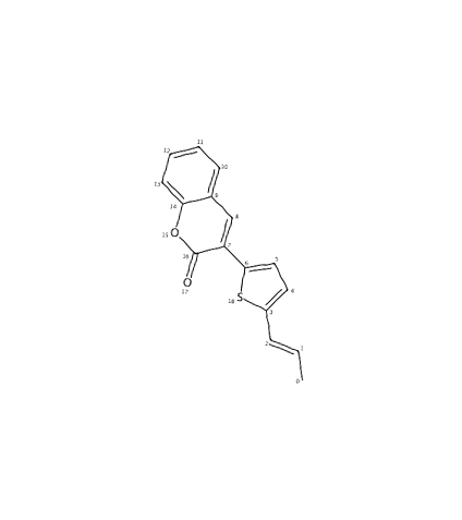 C/C=C/c1ccc(-c2cc3ccccc3oc2=O)s1